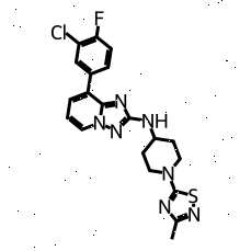 Cc1nsc(N2CCC(Nc3nc4c(-c5ccc(F)c(Cl)c5)cccn4n3)CC2)n1